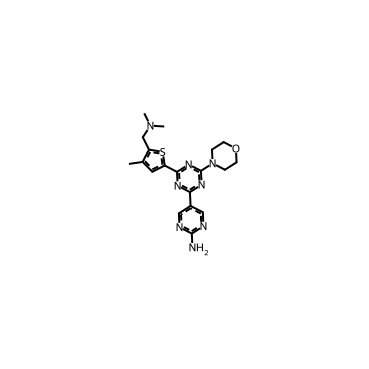 Cc1cc(-c2nc(-c3cnc(N)nc3)nc(N3CCOCC3)n2)sc1CN(C)C